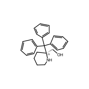 OC[C@@]1(C(c2ccccc2)(c2ccccc2)c2ccccc2)CCCCN1